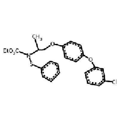 CCOC(=O)N(Sc1ccccc1)C(C)COc1ccc(Oc2cccc(Cl)c2)cc1